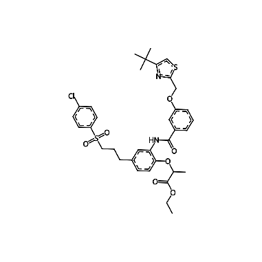 CCOC(=O)C(C)Oc1ccc(CCCS(=O)(=O)c2ccc(Cl)cc2)cc1NC(=O)c1cccc(OCc2nc(C(C)(C)C)cs2)c1